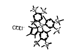 CC1=C(C)[C]([Ti+3])([Si](c2cc([Si](C)(C)C)c([Si](C)(C)C)cc2C)(c2cc([Si](C)(C)C)c([Si](C)(C)C)cc2C)c2cc([Si](C)(C)C)c([Si](C)(C)C)cc2C)C(C)=C1C.[Cl-].[Cl-].[Cl-]